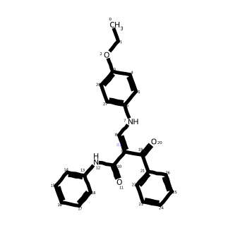 CCOc1ccc(N/C=C(/C(=O)Nc2ccccc2)C(=O)c2ccccc2)cc1